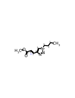 CCCCn1cc(/C=C/C(=O)OC)nn1